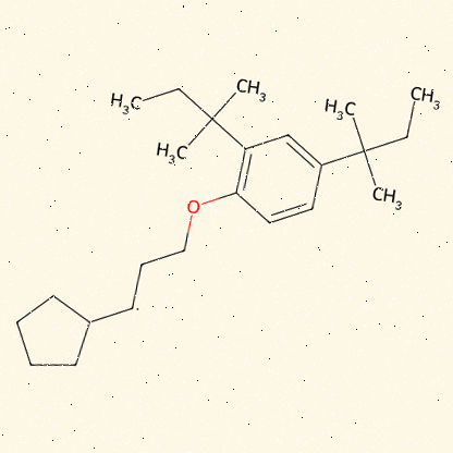 CCC(C)(C)c1ccc(OCC[CH]C2CCCC2)c(C(C)(C)CC)c1